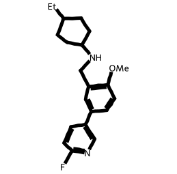 CCC1CCC(NCc2cc(-c3ccc(F)nc3)ccc2OC)CC1